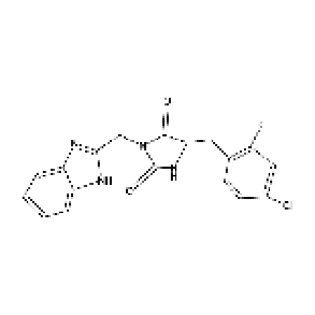 O=C1NC(Cc2ccc(Cl)cc2Cl)C(=O)N1Cc1nc2ccccc2[nH]1